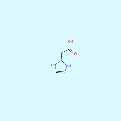 O=C(O)CC1NC=CN1